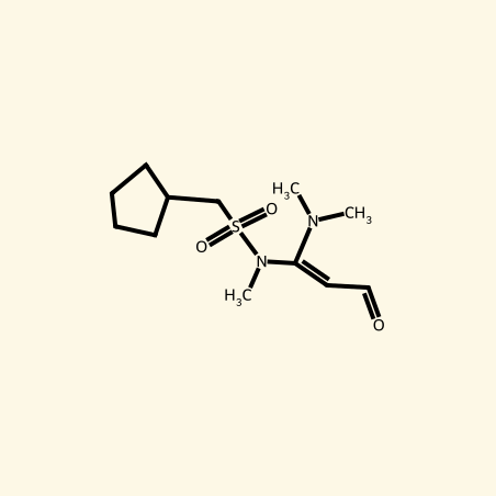 CN(C)C(=CC=O)N(C)S(=O)(=O)CC1CCCC1